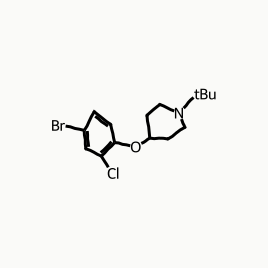 CC(C)(C)N1CCC(Oc2ccc(Br)cc2Cl)CC1